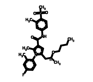 CCCCO[C@@H](C)Cc1cc(C(=O)Nc2ccc(S(C)(=O)=O)c(C)c2)c(C)n1-c1ccc(F)cc1C